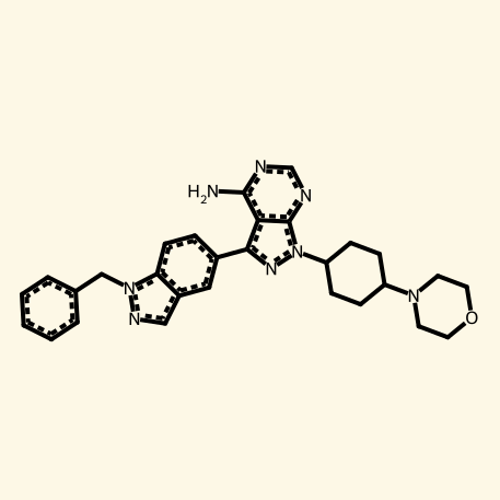 Nc1ncnc2c1c(-c1ccc3c(cnn3Cc3ccccc3)c1)nn2C1CCC(N2CCOCC2)CC1